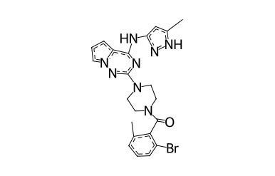 Cc1cc(Nc2nc(N3CCN(C(=O)c4c(C)cccc4Br)CC3)nn3cccc23)n[nH]1